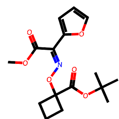 COC(=O)C(=NOC1(C(=O)OC(C)(C)C)CCC1)c1ccco1